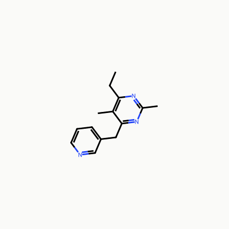 CCc1nc(C)nc(Cc2cccnc2)c1C